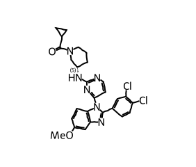 COc1ccc2c(c1)nc(-c1ccc(Cl)c(Cl)c1)n2-c1ccnc(N[C@H]2CCCN(C(=O)C3CC3)C2)n1